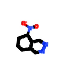 O=[N+]([O-])c1cccc2cnncc12